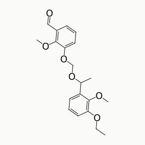 CCOc1cccc(C(C)OCOc2cccc(C=O)c2OC)c1OC